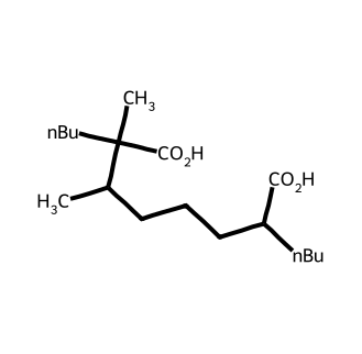 CCCCC(CCCC(C)C(C)(CCCC)C(=O)O)C(=O)O